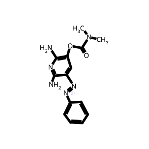 CN(C)C(=O)Oc1cc(/N=N/c2ccccc2)c(N)nc1N